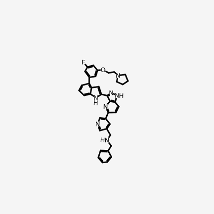 Fc1cc(OCCN2CCCC2)cc(-c2cccc3[nH]c(-c4n[nH]c5ccc(-c6cncc(CNCc7ccccc7)c6)nc45)cc23)c1